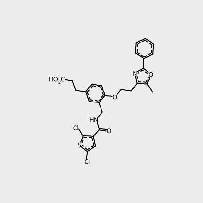 Cc1oc(-c2ccccc2)nc1CCOc1ccc(CCC(=O)O)cc1CNC(=O)c1cc(Cl)sc1Cl